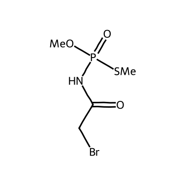 COP(=O)(NC(=O)CBr)SC